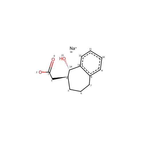 O=C([O-])C[C@@H]1CCCc2ccccc2[C@H]1O.[Na+]